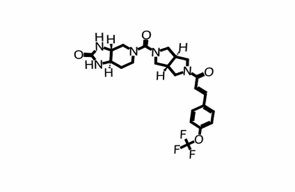 O=C1N[C@@H]2CCN(C(=O)N3C[C@H]4CN(C(=O)/C=C/c5ccc(OC(F)(F)F)cc5)C[C@@H]4C3)C[C@H]2N1